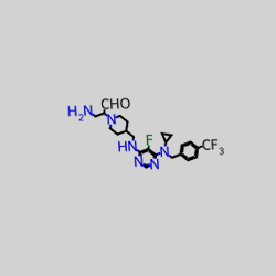 NCC(C=O)N1CCC(CNc2ncnc(N(Cc3ccc(C(F)(F)F)cc3)C3CC3)c2F)CC1